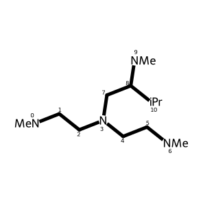 CNCCN(CCNC)CC(NC)C(C)C